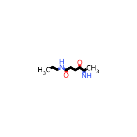 CCCNC(=O)CCC(=O)C(C)=N